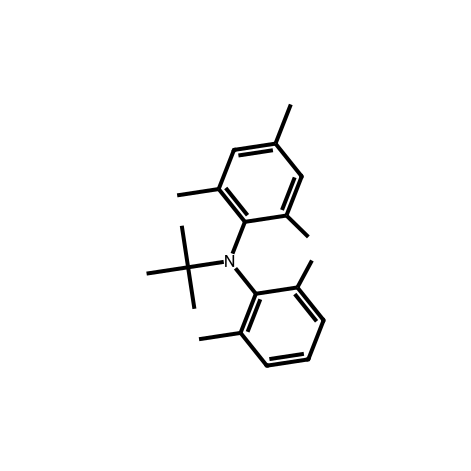 Cc1cc(C)c(N(c2c(C)cccc2C)C(C)(C)C)c(C)c1